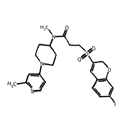 Cc1cc(N2CCC(N(C)C(=O)CCS(=O)(=O)C3=Cc4ccc(Br)cc4OC3)CC2)ccn1